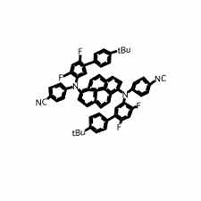 [C-]#[N+]c1ccc(N(c2cc(-c3ccc(C(C)(C)C)cc3)c(F)cc2F)c2ccc3ccc4c(N(c5ccc(C#N)cc5)c5cc(-c6ccc(C(C)(C)C)cc6)c(F)cc5F)ccc5ccc2c3c54)cc1